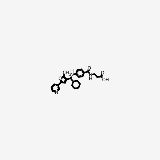 Cc1oc(-c2cccnc2)cc1C(Nc1ccc(C(=O)NCCC(=O)O)cc1)C1CCCCC1